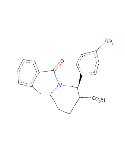 CCOC(=O)C1CCCN(C(=O)c2ccccc2C)[C@H]1c1ccc(N)cc1